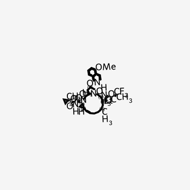 CC[C@@H]1C[C@H](C)CCC=C[C@@H]2C[C@@]2(C(=O)NS(=O)(=O)C2(C)CC2)NC(=O)[C@@H]2C[C@@H](Oc3nccc4c(OC)cccc34)CN2C(=O)[C@H]1NC(=O)OC(C)(C)C(F)(F)F